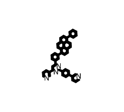 c1ccc(-c2ccc3ccc4c(-c5cccc(-c6cc(-c7cccnc7)nc(-c7ccc(-c8cccnc8)cc7)n6)c5)ccc5ccc2c3c54)cc1